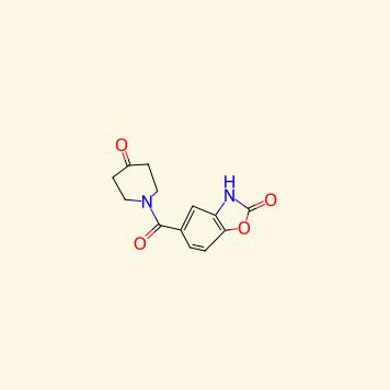 O=C1CCN(C(=O)c2ccc3oc(=O)[nH]c3c2)CC1